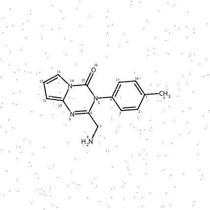 Cc1ccc(-n2c(CN)nc3cccn3c2=O)cc1